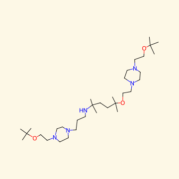 CC(C)(CCC(C)(C)OCCN1CCN(CCOC(C)(C)C)CC1)NCCCN1CCN(CCOC(C)(C)C)CC1